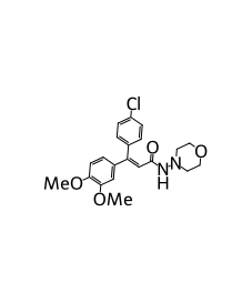 COc1ccc(C(=CC(=O)NN2CCOCC2)c2ccc(Cl)cc2)cc1OC